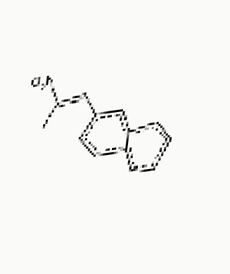 C/C(=C\c1ccc2ccccc2c1)[N+](=O)[O-]